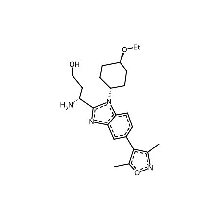 CCO[C@H]1CC[C@H](n2c([C@H](N)CCO)nc3cc(-c4c(C)noc4C)ccc32)CC1